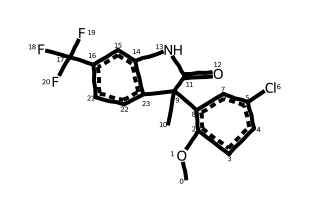 COc1ccc(Cl)cc1C1(C)C(=O)Nc2cc(C(F)(F)F)ccc21